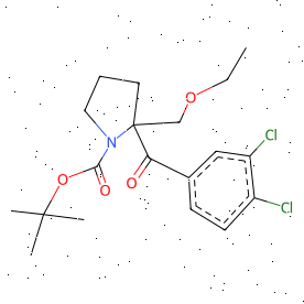 CCOCC1(C(=O)c2ccc(Cl)c(Cl)c2)CCCN1C(=O)OC(C)(C)C